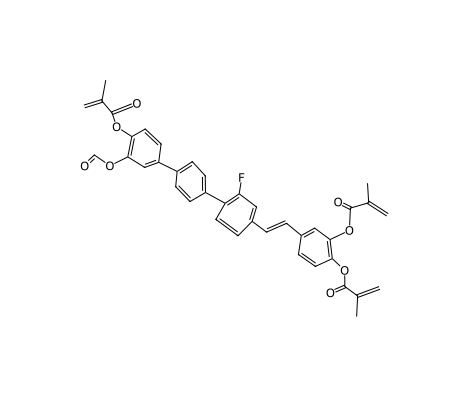 C=C(C)C(=O)Oc1ccc(-c2ccc(-c3ccc(/C=C/c4ccc(OC(=O)C(=C)C)c(OC(=O)C(=C)C)c4)cc3F)cc2)cc1OC=O